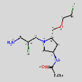 CNC(=O)N[C@@H]1C[C@@H](COCCF)N(C[C@@H](F)CN)C1